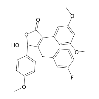 COc1ccc(C2(O)OC(=O)C(c3cc(OC)cc(OC)c3)=C2Cc2cccc(F)c2)cc1